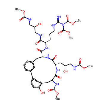 CC(C)(C)OC(=O)NCC(O)CNC(=O)[C@H](CCCNC(=N)N(C(=O)OC(C)(C)C)C(=O)OC(C)(C)C)NC(=O)[C@@H]1Cc2cccc(c2)-c2ccc(O)c(c2)C[C@H](NC(=O)OC(C)(C)C)C(=O)N[C@@H](C[C@@H](O)CNC(=O)OC(C)(C)C)C(=O)N1